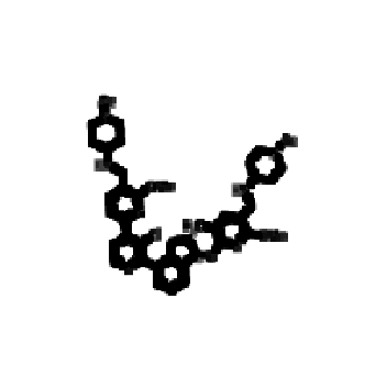 COc1nc(-c2ccnc(-c3cccc4c3CC[C@@H]4Oc3nc(OC)c(CNC4CCN(C(C)=O)CC4)cc3C(F)(F)F)c2Cl)ccc1CNC1CCN(C(C)=O)CC1